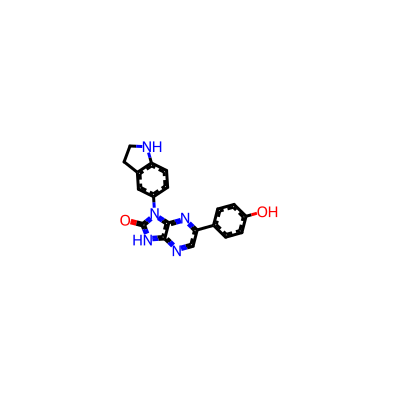 O=c1[nH]c2ncc(-c3ccc(O)cc3)nc2n1-c1ccc2c(c1)CCN2